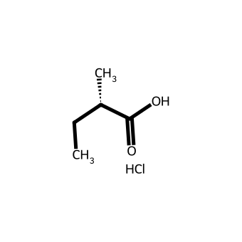 CC[C@H](C)C(=O)O.Cl